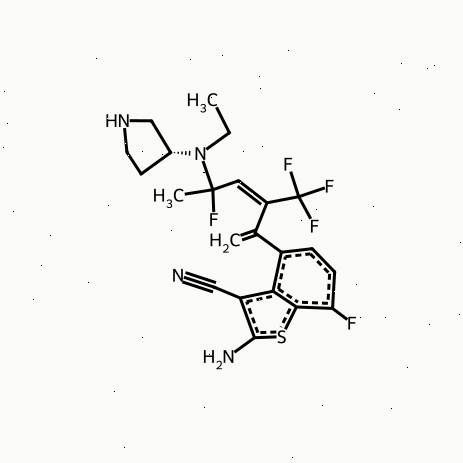 C=C(/C(=C\C(C)(F)N(CC)[C@@H]1CCNC1)C(F)(F)F)c1ccc(F)c2sc(N)c(C#N)c12